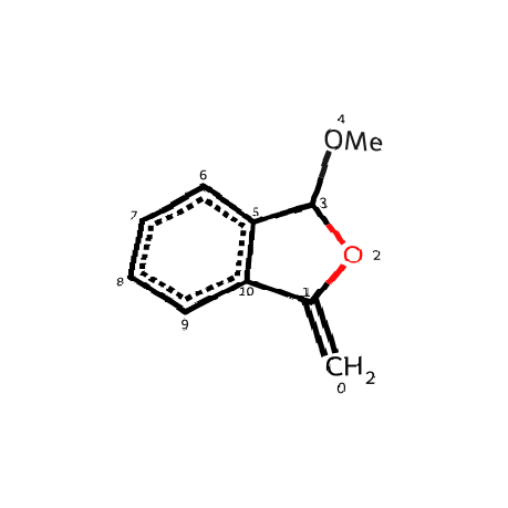 C=C1OC(OC)c2ccccc21